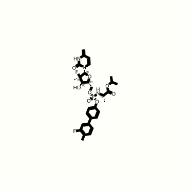 C=C1C=CN([C@@H]2O[C@H](COP(=O)(N[C@@H](C)C(=O)OC(C)C)Oc3ccc(-c4ccc(C)c(F)c4)cc3)[C@@H](O)[C@@]2(C)F)C(=O)N1